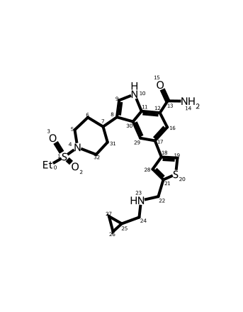 CCS(=O)(=O)N1CCC(c2c[nH]c3c(C(N)=O)cc(-c4csc(CNCC5CC5)c4)cc23)CC1